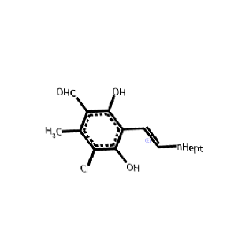 [CH2]CCCCCC/C=C/c1c(O)c(Cl)c(C)c(C=O)c1O